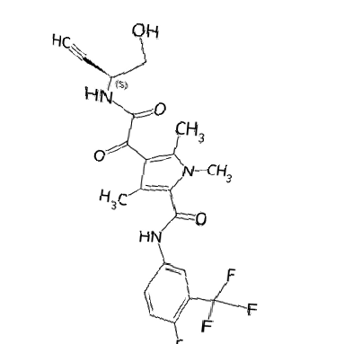 C#C[C@@H](CO)NC(=O)C(=O)c1c(C)c(C(=O)Nc2ccc(F)c(C(F)(F)F)c2)n(C)c1C